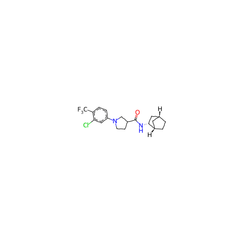 O=C(N[C@@H]1C[C@@H]2CC[C@H]1C2)C1CCN(c2ccc(C(F)(F)F)c(Cl)c2)C1